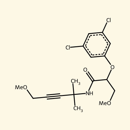 COCC#CC(C)(C)NC(=O)C(COC)Oc1cc(Cl)cc(Cl)c1